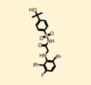 CC(C)c1ccc(F)c(C(C)C)c1NCC(=O)NS(=O)(=O)c1ccc(C(C)(C)O)cc1